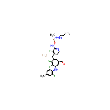 CCCNN(C)SONC1=NCCC(CC2=CC(C=O)=CC(Nc3ccc(C)cc3F)C(F)=C2F)=C1F.S